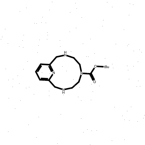 CC(C)(C)OC(=O)N1CCNCc2cccc(n2)CNCC1